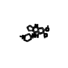 COc1cc2nc3c(c(N[C@@H]4CCCN(C)CC4)c2cc1OC)CCC3